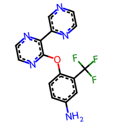 Nc1ccc(Oc2nccnc2-c2cnccn2)c(C(F)(F)F)c1